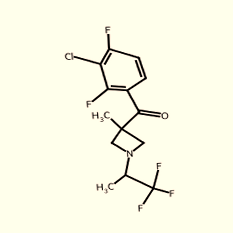 CC(N1CC(C)(C(=O)c2ccc(F)c(Cl)c2F)C1)C(F)(F)F